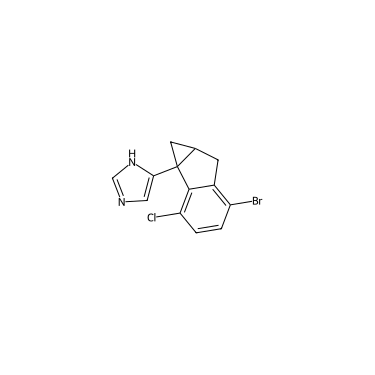 Clc1ccc(Br)c2c1C1(c3cnc[nH]3)CC1C2